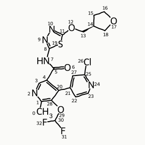 Cc1ncc(C(=O)Nc2nnc(OC[C@H]3CCOC3)s2)c(-c2ccnc(Cl)c2)c1OC(F)F